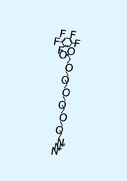 [N-]=[N+]=NCCOCCOCCOCCOCCOCCOCCC(=O)Oc1c(F)c(F)c(F)c(F)c1F